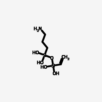 C=C[Si](O)(O)O[Si](O)(O)CCCN